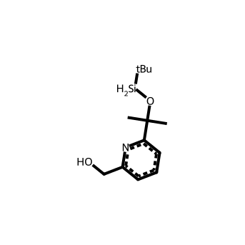 CC(C)(C)[SiH2]OC(C)(C)c1cccc(CO)n1